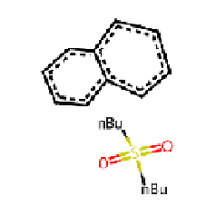 CCCCS(=O)(=O)CCCC.c1ccc2ccccc2c1